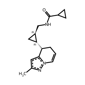 Cc1cc2n(n1)C=CCC2[C@@H]1C[C@H]1CNC(=O)C1CC1